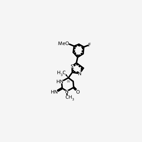 COc1cc(F)cc(-c2cnc([C@]3(C)CC(=O)N(C)C(=N)N3)s2)c1